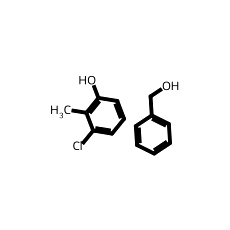 Cc1c(O)cccc1Cl.OCc1ccccc1